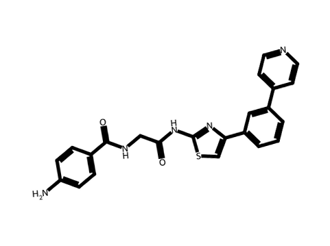 Nc1ccc(C(=O)NCC(=O)Nc2nc(-c3cccc(-c4ccncc4)c3)cs2)cc1